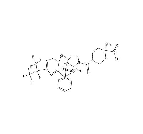 CC12CC=C(C(F)(C(F)(F)F)C(F)(F)F)C=C1CC[C@@H]1N(C(=O)[C@H]3CC[C@](C)(C(=O)O)CC3)CC[C@@]12S(=O)(=O)c1ccccc1